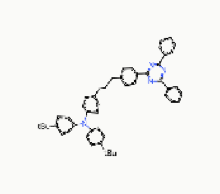 CC(C)(C)c1ccc(N(c2ccc(CCCc3ccc(-c4nc(-c5ccccc5)nc(-c5ccccc5)n4)cc3)cc2)c2ccc(C(C)(C)C)cc2)cc1